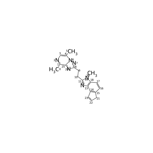 Cc1ncc(C)n2nc(CCc3nc4c5c(ccc4n3C)CC=C5)nc12